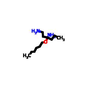 CCCCCCOC(N)(CCC)CCN